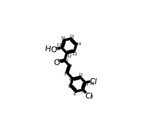 O=C(C=Cc1ccc(Cl)c(Cl)c1)c1ccccc1O